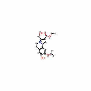 CCOC(=O)c1cc2n(c1CO)CCc1cc(O)c(OC(C)C)cc1-2